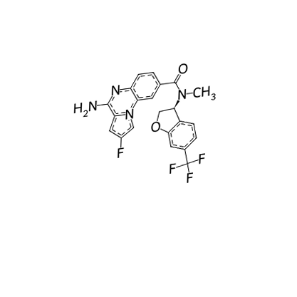 CN(C(=O)c1ccc2nc(N)c3cc(F)cn3c2c1)[C@@H]1COc2cc(C(F)(F)F)ccc21